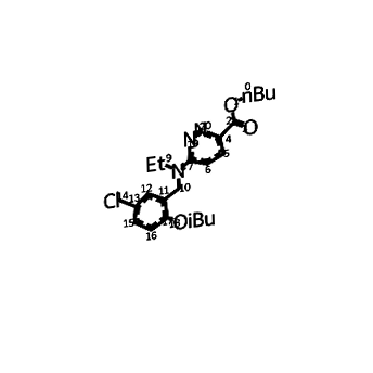 CCCCOC(=O)c1ccc(N(CC)Cc2cc(Cl)ccc2OCC(C)C)nn1